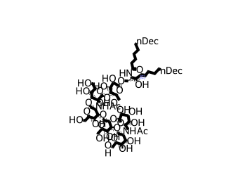 CCCCCCCCCCCCC/C=C/[C@@H](O)[C@H](CO[C@@H]1OC(CO)[C@@H](O[C@@H]2OC(CO)[C@H](O)[C@H](O[C@@H]3OC(CO)[C@@H](O)[C@H](O[C@@H]4OC(CO)[C@H](O)[C@H](O[C@H]5OC(CO)[C@H](O)[C@H](O)C5NC(C)=O)C4O[C@H]4OC(C)[C@@H](O)C(O)[C@@H]4O)C3NC(C)=O)C2O)[C@H](O)C1O)NC(=O)CCCCCCCCCCCCCCC